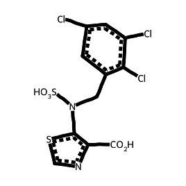 O=C(O)c1ncsc1N(Cc1cc(Cl)cc(Cl)c1Cl)S(=O)(=O)O